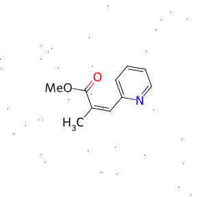 COC(=O)C(C)=Cc1ccccn1